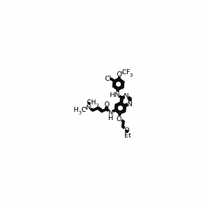 CCOCCOc1cc2ncnc(Nc3ccc(OC(F)(F)F)c(Cl)c3)c2cc1NC(=O)/C=C/CN(C)C